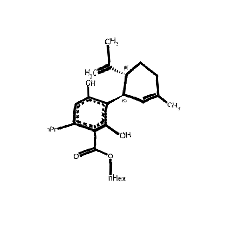 C=C(C)[C@@H]1CCC(C)=C[C@H]1c1c(O)cc(CCC)c(C(=O)OCCCCCC)c1O